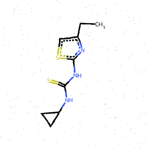 CCc1csc(NC(=S)NC2CC2)n1